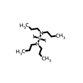 CCCN(CCC)[Si](I)(I)N(CCC)CCC